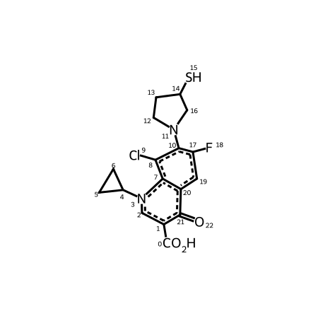 O=C(O)c1cn(C2CC2)c2c(Cl)c(N3CCC(S)C3)c(F)cc2c1=O